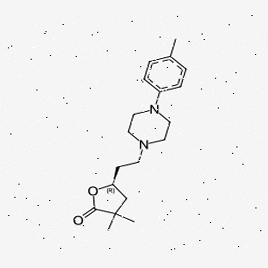 Cc1ccc(N2CCN(CC[C@H]3CC(C)(C)C(=O)O3)CC2)cc1